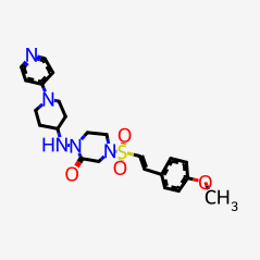 COc1ccc(C=CS(=O)(=O)N2CCN(NC3CCN(c4ccncc4)CC3)C(=O)C2)cc1